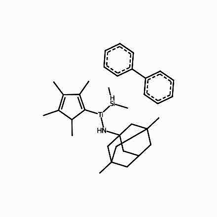 CC1=C(C)C(C)[C]([Ti]([NH]C23CC4CC(C)(CC(C)(C4)C2)C3)[SiH](C)C)=C1C.c1ccc(-c2ccccc2)cc1